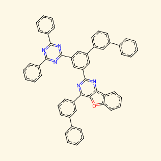 c1ccc(-c2cccc(-c3cc(-c4nc(-c5ccccc5)nc(-c5ccccc5)n4)cc(-c4nc(-c5cccc(-c6ccccc6)c5)c5oc6ccccc6c5n4)c3)c2)cc1